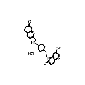 COc1cnc2ccc(=O)n(CCN3CCC(NCc4ccc5c(n4)NC(=O)CC5)CC3)c2c1.Cl